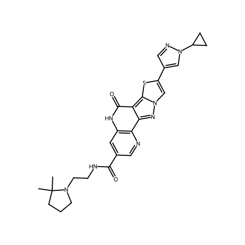 CC1(C)CCCN1CCNC(=O)c1cnc2c(c1)[nH]c(=O)c1c2nn2cc(-c3cnn(C4CC4)c3)sc12